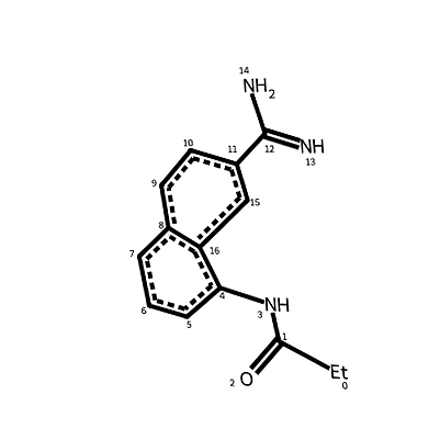 CCC(=O)Nc1cccc2ccc(C(=N)N)cc12